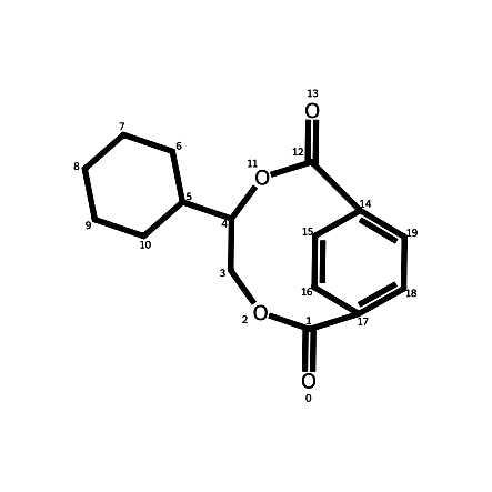 O=C1OCC(C2CCCCC2)OC(=O)c2ccc1cc2